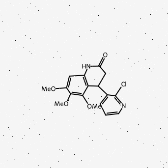 COc1cc2c(c(OC)c1OC)C(c1cccnc1Cl)CC(=O)N2